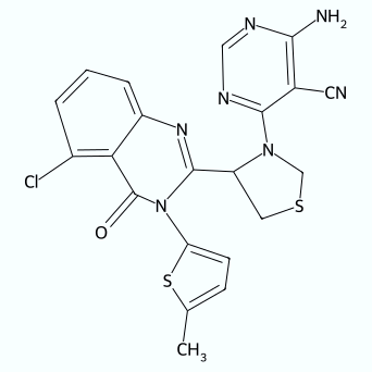 Cc1ccc(-n2c(C3CSCN3c3ncnc(N)c3C#N)nc3cccc(Cl)c3c2=O)s1